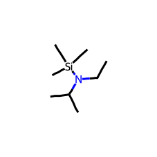 CCN(C(C)C)[Si](C)(C)C